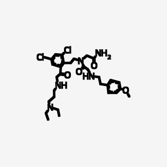 CCN(CC)CCCNCC(=O)c1cc(Cl)cc(Cl)c1CCN(CC(N)=O)C(=O)CNCCc1ccc(OC)cc1